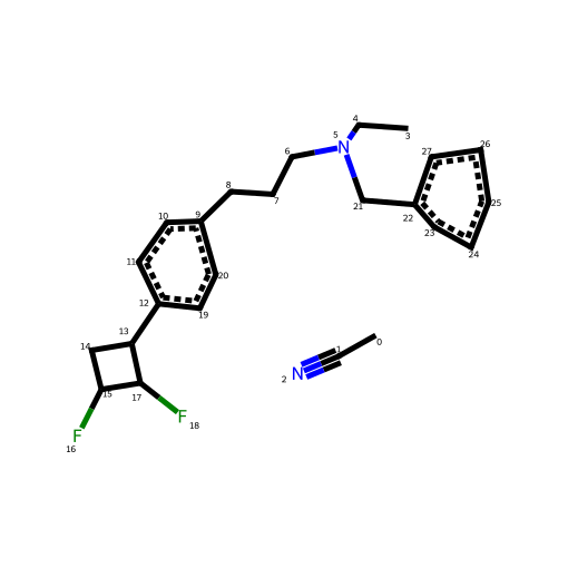 CC#N.CCN(CCCc1ccc(C2CC(F)C2F)cc1)Cc1ccccc1